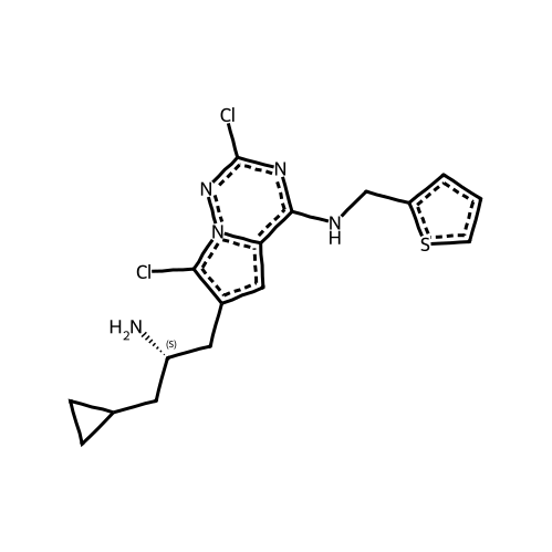 N[C@H](Cc1cc2c(NCc3cccs3)nc(Cl)nn2c1Cl)CC1CC1